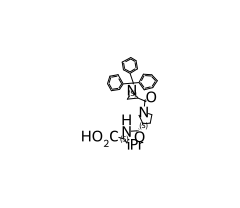 CC(C)[C@H](NC(=O)[C@H]1CCN(C(=O)C2C[N@@]2C(c2ccccc2)(c2ccccc2)c2ccccc2)C1)C(=O)O